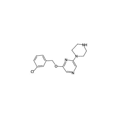 Clc1cccc(COc2cncc(N3CCNCC3)n2)c1